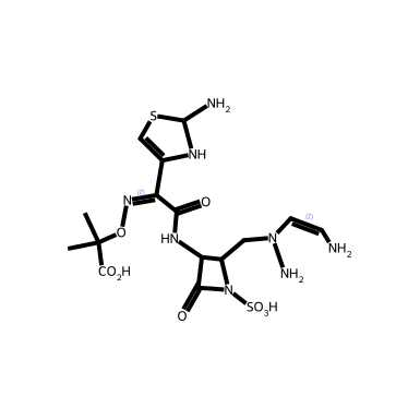 CC(C)(O/N=C(\C(=O)NC1C(=O)N(S(=O)(=O)O)C1CN(N)/C=C\N)C1=CSC(N)N1)C(=O)O